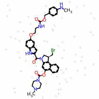 CNc1ccc(COC(=O)NCCOc2ccc3[nH]c(C(=O)N4C[C@@H](CBr)c5c4cc(OC(=O)N4CCN(C)CC4)c4ccccc54)cc3c2)cc1